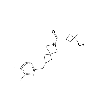 Cc1ccc(CC2CC3(C2)CN(C(=O)C2CC(C)(O)C2)C3)cc1C